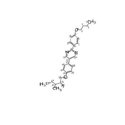 CCCCOc1ccc(-c2ncc(-c3ccc(OCC(F)C(C)CC)cc3)cn2)cc1